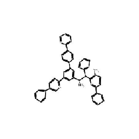 Nc1ccc(-c2ccccc2)cc1C(c1ccccc1)[C@@H](N)c1cc(-c2ccc(-c3ccccn3)cc2)cc(-c2ccc(-c3ccccc3)cn2)c1